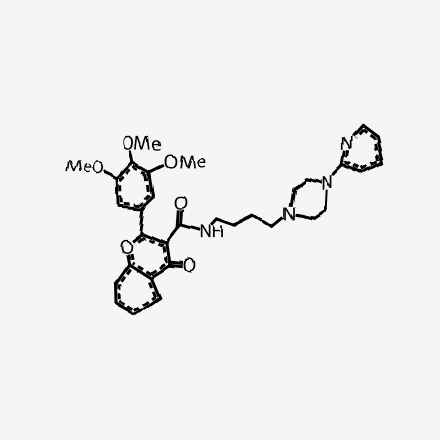 COc1cc(-c2oc3ccccc3c(=O)c2C(=O)NCCCCN2CCN(c3ccccn3)CC2)cc(OC)c1OC